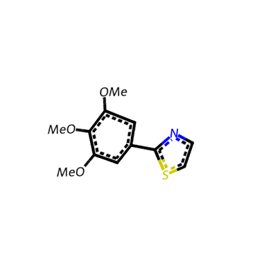 COc1cc(-c2nccs2)cc(OC)c1OC